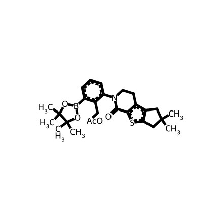 CC(=O)OCc1c(B2OC(C)(C)C(C)(C)O2)cccc1N1CCc2c(sc3c2CC(C)(C)C3)C1=O